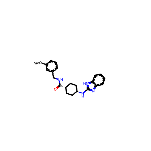 COc1cccc(CNC(=O)[C@H]2CC[C@H](Nc3nc4ccccc4[nH]3)CC2)c1